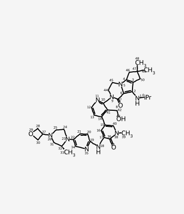 CC(C)Nc1c2c(n3c1C(=O)N(c1nccc(-c4cc(Nc5ccc(N6CCN(C7COC7)C[C@@H]6C)cn5)c(=O)n(C)c4)c1CO)CC3)CC(C)(C)C2